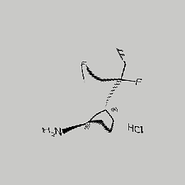 Cl.N[C@@H]1C[C@H]1C(F)(F)F